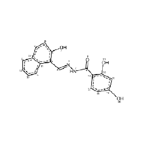 O=C(NN=Cc1c(O)ccc2ccccc12)c1ccc(O)cc1O